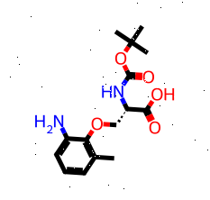 Cc1cccc(N)c1OC[C@H](NC(=O)OC(C)(C)C)C(=O)O